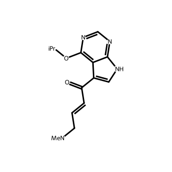 CNC/C=C/C(=O)c1c[nH]c2ncnc(OC(C)C)c12